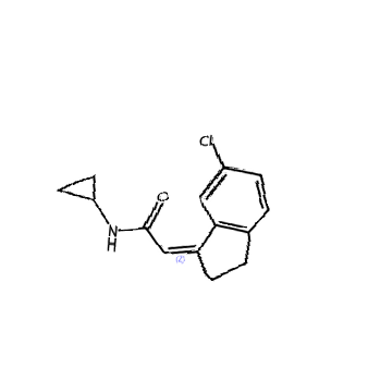 O=C(/C=C1/CCc2ccc(Cl)cc21)NC1CC1